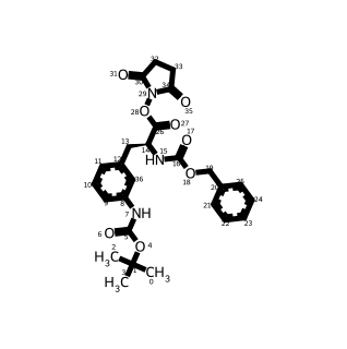 CC(C)(C)OC(=O)Nc1cccc(C[C@H](NC(=O)OCc2ccccc2)C(=O)ON2C(=O)CCC2=O)c1